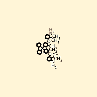 Cc1cc(C2(c3ccc(Oc4cccc(N)c4C(C)C)c(C)c3)c3ccccc3-c3ccccc32)ccc1Oc1cccc(N)c1C(C)C